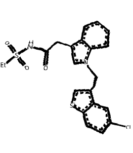 CCS(=O)(=O)NC(=O)Cc1cn(Cc2csc3ccc(Cl)cc23)c2ccccc12